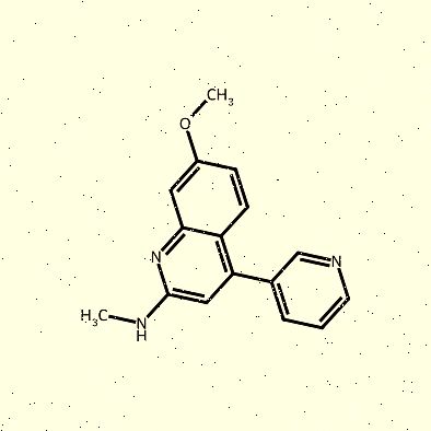 CNc1cc(-c2cccnc2)c2ccc(OC)cc2n1